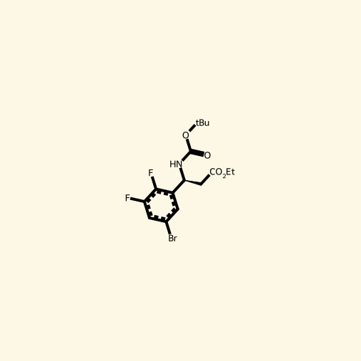 CCOC(=O)C[C@H](NC(=O)OC(C)(C)C)c1cc(Br)cc(F)c1F